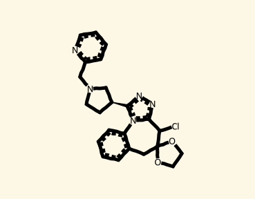 ClC1c2nnc([C@H]3CCN(Cc4ccccn4)C3)n2-c2ccccc2CC12OCCO2